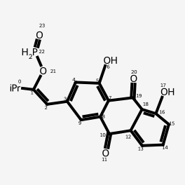 CC(C)C(=Cc1cc(O)c2c(c1)C(=O)c1cccc(O)c1C2=O)O[PH2]=O